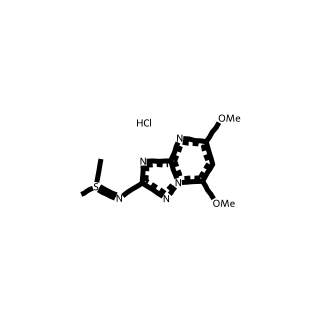 COc1cc(OC)n2nc(N=S(C)C)nc2n1.Cl